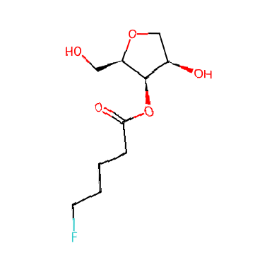 O=C(CCCCF)O[C@@H]1[C@H](O)CO[C@@H]1CO